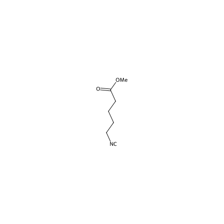 [C-]#[N+]CCCCC(=O)OC